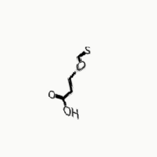 O=C(O)CCOC=S